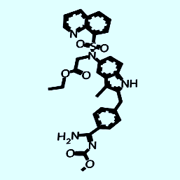 CCOC(=O)CN(c1ccc2[nH]c(Cc3ccc(C(N)=NC(=O)OC)cc3)c(C)c2c1)S(=O)(=O)c1cccc2cccnc12